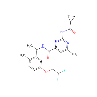 Cc1cc(C(=O)NC(C)c2cc(OCC(F)F)ccc2C)nc(NC(=O)C2CC2)n1